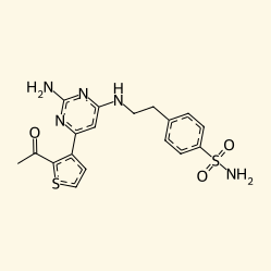 CC(=O)c1sccc1-c1cc(NCCc2ccc(S(N)(=O)=O)cc2)nc(N)n1